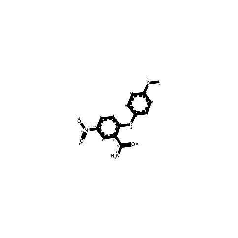 COc1ccc(Oc2ccc([N+](=O)[O-])cc2C(N)=O)cc1